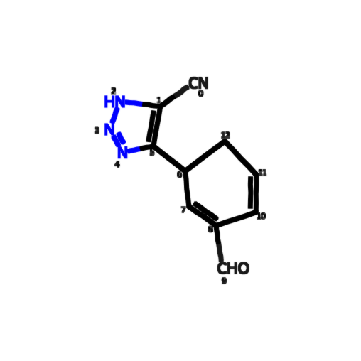 N#Cc1[nH]nnc1C1C=C(C=O)C=CC1